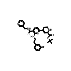 CC(C)(C)OC(=O)C1C=C(c2ccc(C(=O)NCc3cccnc3)c(NCCc3cccc(F)c3)n2)CCN1